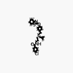 O=C(NCCCN(CCc1ccc(Oc2nc3ccccc3s2)cc1)C1CC1)c1ccc(Cl)cc1